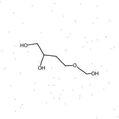 OCOCCC(O)CO